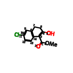 COC(=O)C1=C(O)CCc2cc(Cl)ccc21